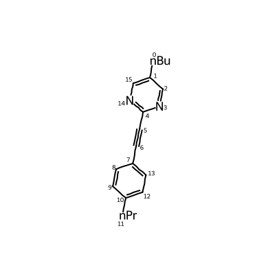 CCCCc1cnc(C#Cc2ccc(CCC)cc2)nc1